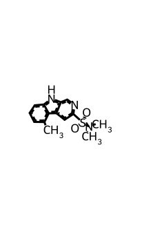 Cc1cccc2[nH]c3cnc(S(=O)(=O)N(C)C)cc3c12